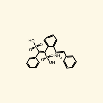 NC(=Cc1ccccc1)c1ccccc1C(=C(c1ccccc1)S(=O)(=O)O)S(=O)(=O)O